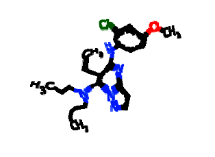 CCCN(CCC)c1c(CC)c(Nc2ccc(OC)cc2Cl)nc2ccnn12